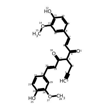 C#CCC(C(=O)C=Cc1ccc(O)c(OC)c1)C(=O)C=Cc1ccc(O)c(OC)c1